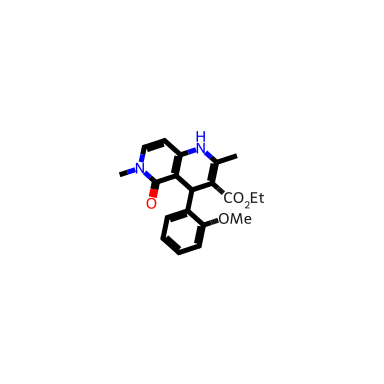 CCOC(=O)C1=C(C)Nc2ccn(C)c(=O)c2C1c1ccccc1OC